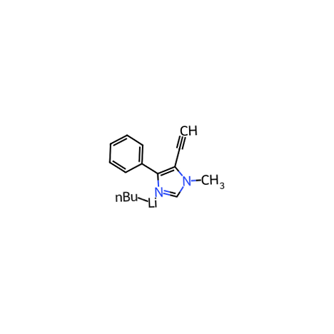 C#Cc1c(-c2ccccc2)ncn1C.[Li][CH2]CCC